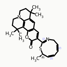 C[C@@H]1/C=C\C=C/C/N=C(/c2cc3cc4c5c(c3oc2=O)C(C)(C)CCN5CCC4(C)C)S1